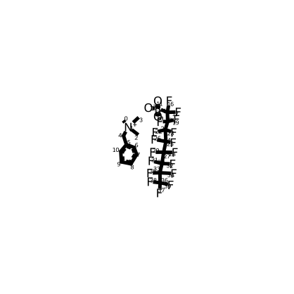 C[N+](C)(C)Cc1ccccc1.O=S(=O)([O-])C(F)(F)C(F)(F)C(F)(F)C(F)(F)C(F)(F)C(F)(F)C(F)(F)C(F)(F)F